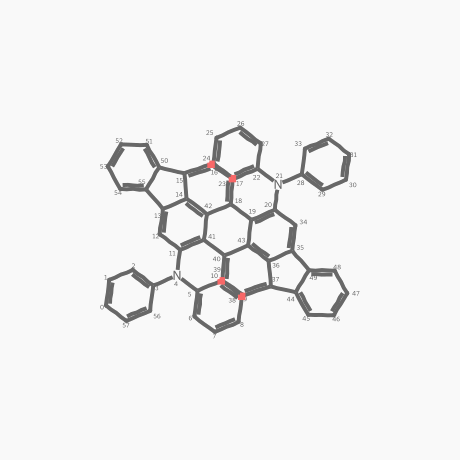 c1ccc(N(c2ccccc2)c2cc3c4c(ccc5c6c(N(c7ccccc7)c7ccccc7)cc7c8c(ccc(c2c45)c86)-c2ccccc2-7)-c2ccccc2-3)cc1